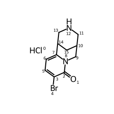 Cl.O=c1c(Br)ccc2n1CC1CNCC2C1